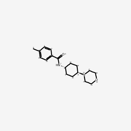 Cc1ccc(C(=O)N[C@H]2CC[C@H](N3CCOCC3)CC2)cc1